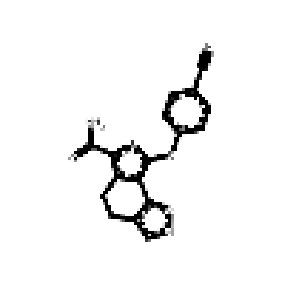 N#Cc1ccc(Oc2sc(C(N)=O)c3c2-c2sncc2CC3)cc1